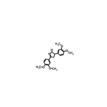 COc1ccc(C2=NNC(c3ccc(OC)c(OC)c3)C2)cc1OC